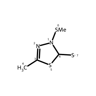 CSN1N=C(C)SC1[S]